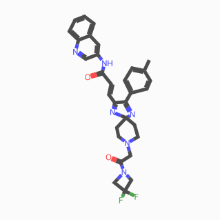 Cc1ccc(C2=NC3(CCN(CC(=O)N4CC(F)(F)C4)CC3)N=C2/C=C/C(=O)Nc2cnc3ccccc3c2)cc1